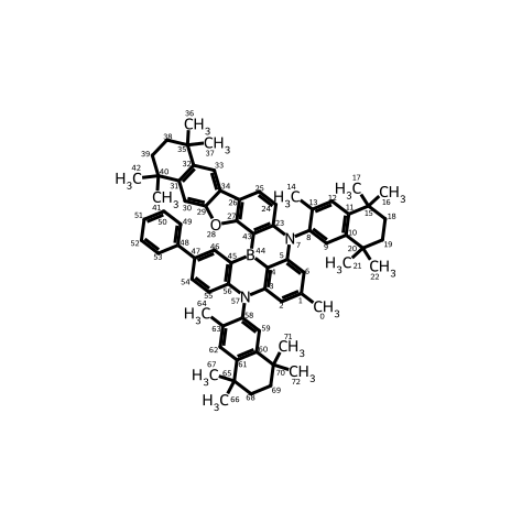 Cc1cc2c3c(c1)N(c1cc4c(cc1C)C(C)(C)CCC4(C)C)c1ccc4c(oc5cc6c(cc54)C(C)(C)CCC6(C)C)c1B3c1cc(-c3ccccc3)ccc1N2c1cc2c(cc1C)C(C)(C)CCC2(C)C